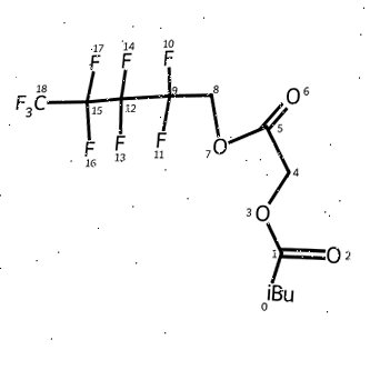 CCC(C)C(=O)OCC(=O)OCC(F)(F)C(F)(F)C(F)(F)C(F)(F)F